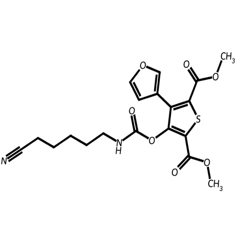 COC(=O)c1sc(C(=O)OC)c(-c2ccoc2)c1OC(=O)NCCCCCC#N